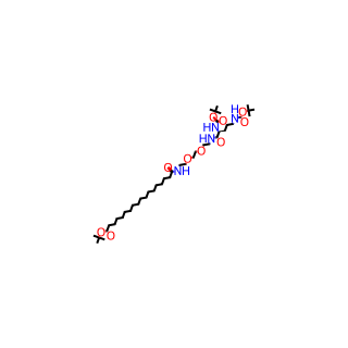 CC(C)(C)OC(=O)CCCCCCCCCCCCCCCCC(=O)NCCOCCOCCNC(=O)[C@H](CCCNC(=O)OC(C)(C)C)NC(=O)OC(C)(C)C